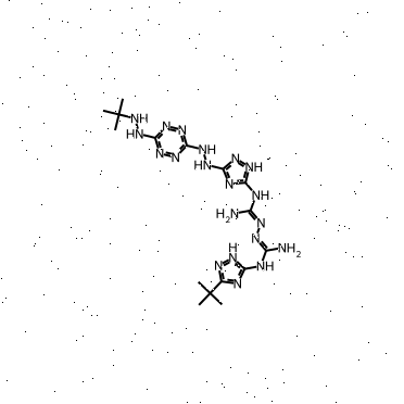 CC(C)(C)NNc1nnc(NNc2n[nH]c(N/C(N)=N/N=C(\N)Nc3nc(C(C)(C)C)n[nH]3)n2)nn1